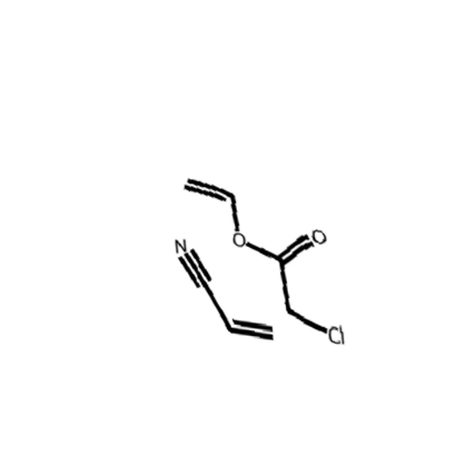 C=CC#N.C=COC(=O)CCl